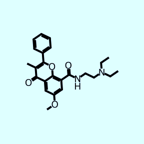 CCN(CC)CCNC(=O)c1cc(OC)cc2c(=O)c(C)c(-c3ccccc3)oc12